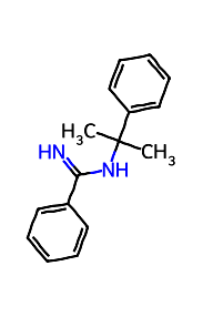 CC(C)(NC(=N)c1ccccc1)c1ccccc1